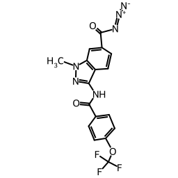 Cn1nc(NC(=O)c2ccc(OC(F)(F)F)cc2)c2ccc(C(=O)N=[N+]=[N-])cc21